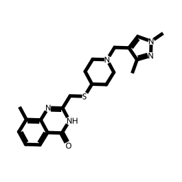 Cc1nn(C)cc1CN1CCC(SCc2nc3c(C)cccc3c(=O)[nH]2)CC1